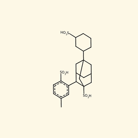 Cc1ccc(S(=O)(=O)O)c(C2C3CC4CC(C5CCCC(S(=O)(=O)O)C5)(C3)CC2(S(=O)(=O)O)C4)c1